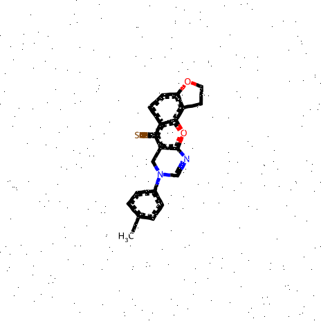 Cc1ccc(N2C=Nc3oc4c5c(ccc4c(=S)c3C2)OCC5)cc1